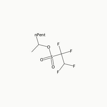 CCCCCC(C)OS(=O)(=O)C(F)(F)C(F)F